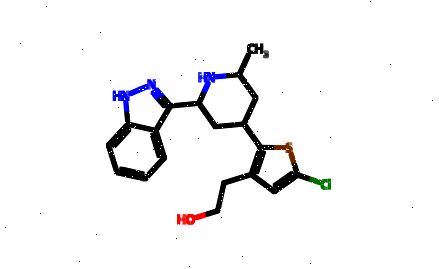 CC1CC(c2sc(Cl)cc2CCO)CC(c2n[nH]c3ccccc23)N1